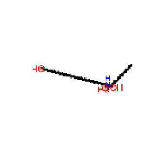 CCCCCCCCCCCCCCC[C@@H](O)[C@H](CO)NC(=O)CCCCCCCCCCCCCCCCCCCCCCCCCCCCCCCCCO